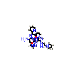 N=C1C=C(N)/C(=N/c2c(NCCN3CCCC3)nn3ccccc23)N/C1=N\c1c(NCCN2CCCC2)nn2ccccc12